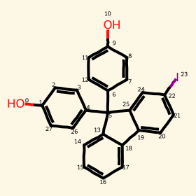 Oc1ccc(C2(c3ccc(O)cc3)c3ccccc3-c3ccc(I)cc32)cc1